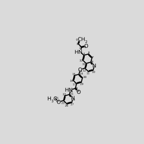 C=CC(=O)Nc1ccc2nccc(Oc3ccc(C(=O)Nc4cc(OC)ccn4)cc3)c2c1